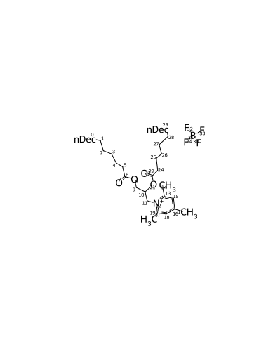 CCCCCCCCCCCCCCCC(=O)OCC(C[n+]1c(C)cc(C)cc1C)OC(=O)CCCCCCCCCCCCCCC.F[B-](F)(F)F